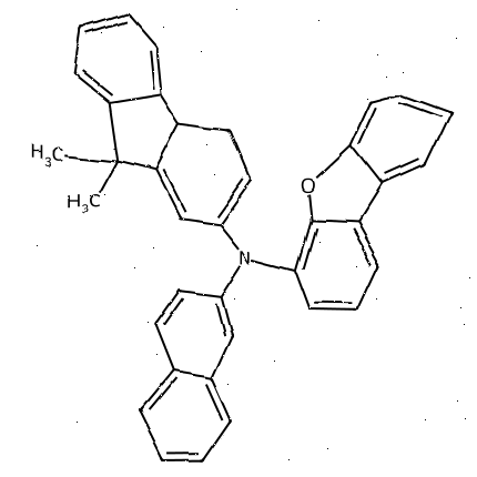 CC1(C)C2=CC(N(c3ccc4ccccc4c3)c3cccc4c3oc3ccccc34)=CCC2c2ccccc21